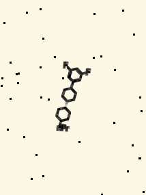 CCC[C@H]1CC[C@H](C2CCC(c3cc(F)cc(F)c3)CC2)CC1